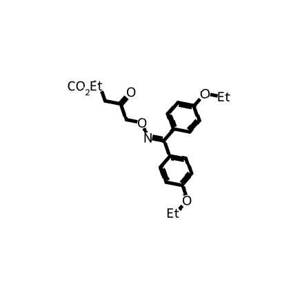 CCOC(=O)CC(=O)CON=C(c1ccc(OCC)cc1)c1ccc(OCC)cc1